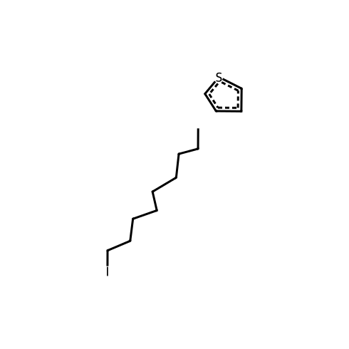 CCCCCCCCCI.c1ccsc1